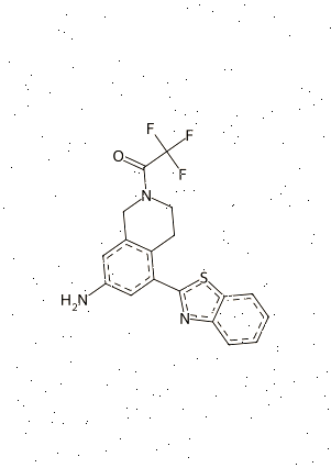 Nc1cc2c(c(-c3nc4ccccc4s3)c1)CCN(C(=O)C(F)(F)F)C2